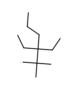 [CH2]C(C)(C)C(CC)(CC)CCC